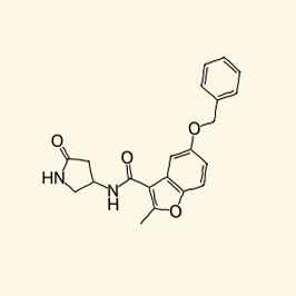 Cc1oc2ccc(OCc3ccccc3)cc2c1C(=O)NC1CNC(=O)C1